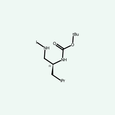 CC(C)C[C@@H](CNI)NC(=O)OC(C)(C)C